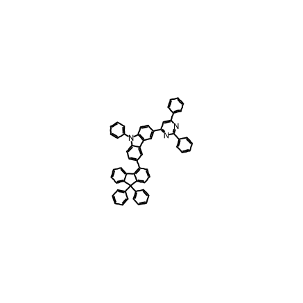 c1ccc(-c2cc(-c3ccc4c(c3)c3cc(-c5cccc6c5-c5ccccc5C6(c5ccccc5)c5ccccc5)ccc3n4-c3ccccc3)nc(-c3ccccc3)n2)cc1